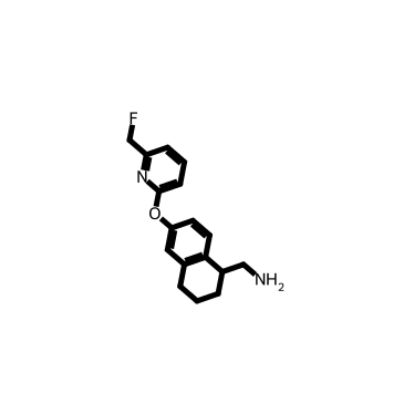 NCC1CCCc2cc(Oc3cccc(CF)n3)ccc21